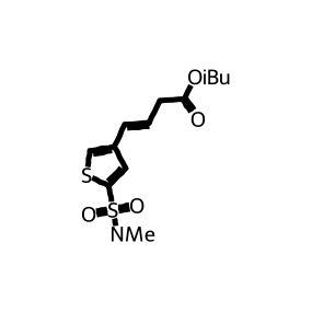 CNS(=O)(=O)c1cc(C=CCC(=O)OCC(C)C)cs1